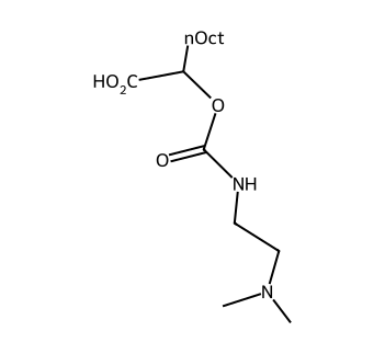 CCCCCCCCC(OC(=O)NCCN(C)C)C(=O)O